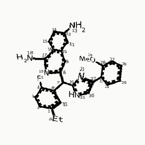 CCc1ccc(F)c(C(c2cc3cc(N)ccc3c(N)n2)c2nc(-c3ccccc3OC)c[nH]2)c1